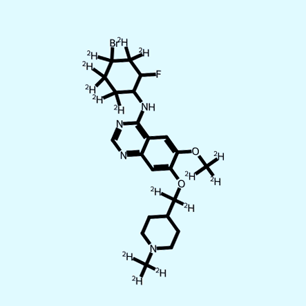 [2H]C([2H])([2H])Oc1cc2c(NC3C(F)C([2H])([2H])C([2H])(Br)C([2H])([2H])C3([2H])[2H])ncnc2cc1OC([2H])([2H])C1CCN(C([2H])([2H])[2H])CC1